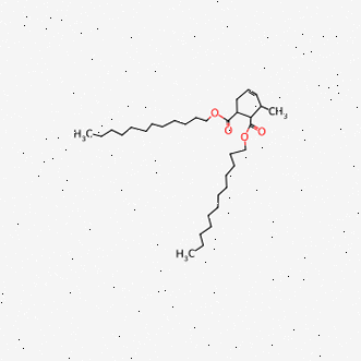 CCCCCCCCCCCCOC(=O)C1CC=CC(C)C1C(=O)OCCCCCCCCCCCC